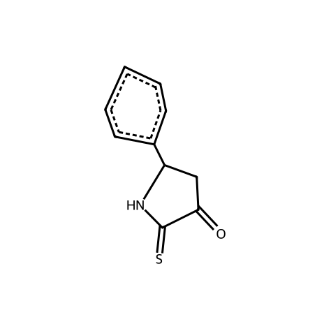 O=C1CC(c2ccccc2)NC1=S